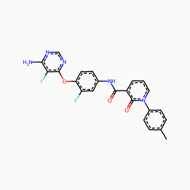 Cc1ccc(-n2cccc(C(=O)Nc3ccc(Oc4ncnc(N)c4F)c(F)c3)c2=O)cc1